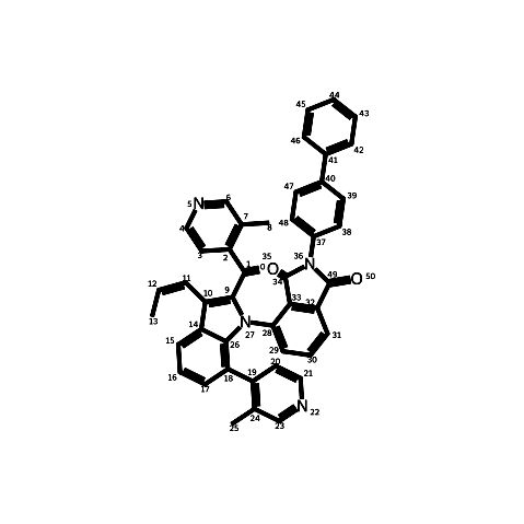 C=C(c1ccncc1C)c1c(/C=C\C)c2cccc(-c3ccncc3C)c2n1-c1cccc2c1C(=O)N(c1ccc(-c3ccccc3)cc1)C2=O